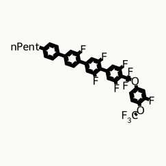 CCCCCc1ccc(-c2ccc(-c3cc(F)c(-c4cc(F)c(C(F)(F)Oc5ccc(OC(F)(F)F)c(F)c5)c(F)c4)c(F)c3)c(F)c2)cc1